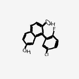 Oc1ccc2ccc(O)c(-c3cc(Cl)ccc3F)c2c1